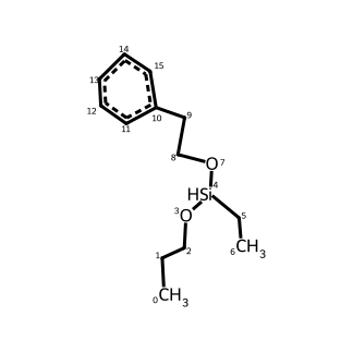 CCCO[SiH](CC)OCCc1ccccc1